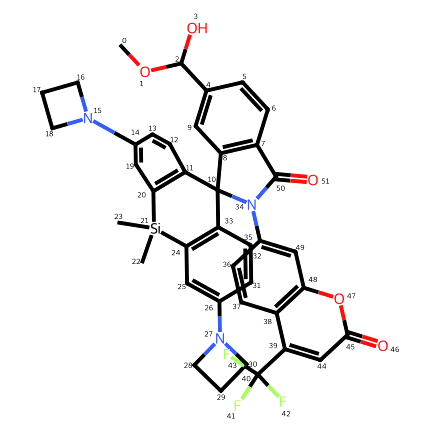 COC(O)c1ccc2c(c1)C1(c3ccc(N4CCC4)cc3[Si](C)(C)c3cc(N4CCC4)ccc31)N(c1ccc3c(C(F)(F)F)cc(=O)oc3c1)C2=O